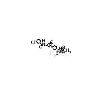 CN(C)C(=NS(C)(=O)=O)c1ccc(N2CC(CNC(=O)c3cccc(Cl)c3)CC2=O)cc1